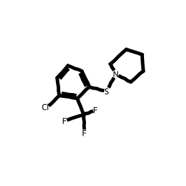 FC(F)(F)c1c(Cl)cccc1SN1CCCCC1